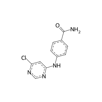 NC(=O)c1ccc(Nc2cc(Cl)ncn2)cc1